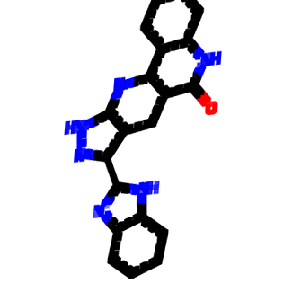 O=c1[nH]c2ccccc2c2nc3[nH]nc(-c4nc5ccccc5[nH]4)c3cc12